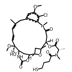 COc1cc2cc(c1Cl)N(C)C(=O)C[C@H](OC(=O)[C@H](C)N(C)C(=O)CCCS)[C@@]1(C)C[C@](C)(O1)[C@@H]1C[C@@](O)(NC(=O)O1)[C@H](OC)/C=C/C=C(/C)C2